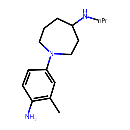 CCCNC1CCCN(c2ccc(N)c(C)c2)CC1